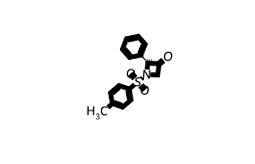 Cc1ccc(S(=O)(=O)N2CC(=O)[C@H]2c2ccccc2)cc1